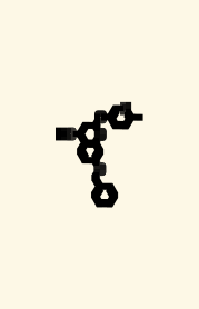 Cc1ccc(OC2CC(O)c3ccc(OCc4ccccc4)cc3O2)cn1